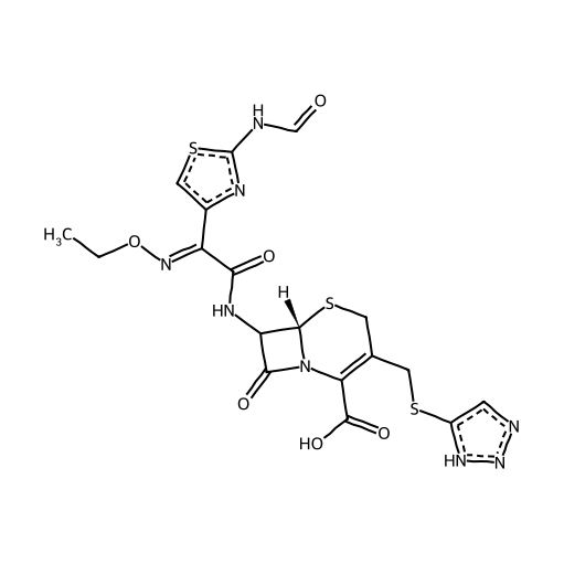 CCON=C(C(=O)NC1C(=O)N2C(C(=O)O)=C(CSc3cnn[nH]3)CS[C@@H]12)c1csc(NC=O)n1